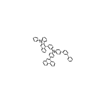 c1ccc(-c2cccc(-c3ccc(N(c4ccc(-c5cc6ccccc6c6ccccc56)cc4)c4cccc(-c5c6ccccc6cc6c5c5ccccc5n6-c5ccccc5)c4)cc3)c2)cc1